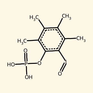 Cc1c(C)c(C)c(I=O)c(OP(=O)(O)O)c1C